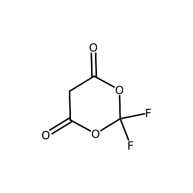 O=C1CC(=O)OC(F)(F)O1